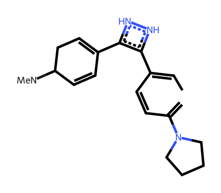 C=C(/C=C\C(=C/C)c1[nH][nH]c1C1=CCC(NC)C=C1)N1CCCC1